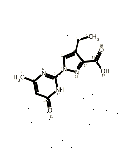 CCc1cn(-c2nc(C)cc(=O)[nH]2)nc1C(=O)O